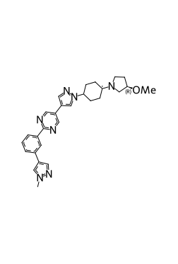 CO[C@@H]1CCN([C]2CCC(n3cc(-c4cnc(-c5cccc(-c6cnn(C)c6)c5)nc4)cn3)CC2)C1